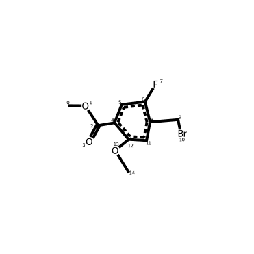 COC(=O)c1cc(F)c(CBr)cc1OC